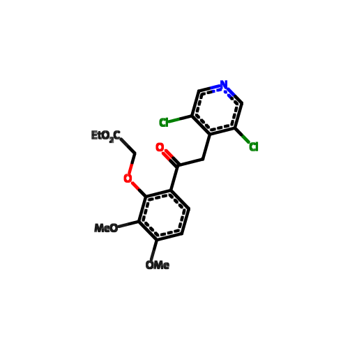 CCOC(=O)COc1c(C(=O)Cc2c(Cl)cncc2Cl)ccc(OC)c1OC